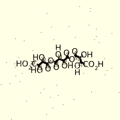 O=C(O)C(O)C(O)C(=O)OC(=O)[C@H](O)[C@@H](O)C(=O)OC(=O)C(O)C(O)C(=O)O